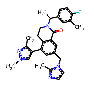 Cc1cc([C@H](C)N2CCc3c(cc(Cn4ccnc4C)cc3-c3cn(C)nc3C(F)(F)F)C2=O)ccc1F